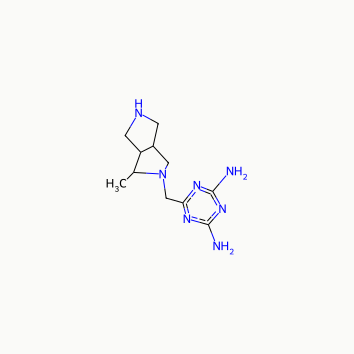 CC1C2CNCC2CN1Cc1nc(N)nc(N)n1